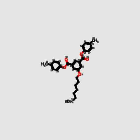 CCCCCCCCCCCCCCCCOc1cc(C(=O)Oc2ccc(C)cc2)cc(C(=O)Oc2ccc(C)cc2)c1